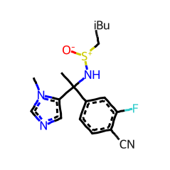 CCC(C)C[S+]([O-])NC(C)(c1ccc(C#N)c(F)c1)c1cncn1C